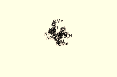 CCN(Cc1ccc(OC)cc1)c1nc(Nc2cc(C#N)cc(N3CC[C@@H](NC(=O)OC)[C@H](CC(OP(=O)(OCc4ccccc4)OCc4ccccc4)C(=O)O)C3)c2Cl)nn2c(C#N)cnc12